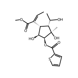 C/C=C(/C(=O)OC)[C@H]1[C@H](O)[C@H](OC(=O)c2cccs2)[C@](C)(O)[C@H]1C(C)O